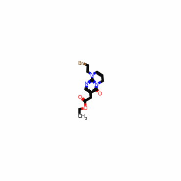 CCOC(=O)Cc1cnc2n(c1=O)CC=CN2CCBr